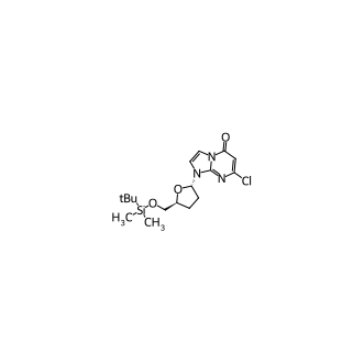 CC(C)(C)[Si](C)(C)OC[C@@H]1CC[C@@H](n2ccn3c(=O)cc(Cl)nc23)O1